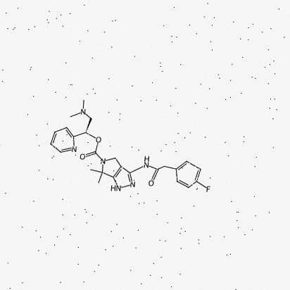 CN(C)C[C@@H](OC(=O)N1Cc2c(NC(=O)Cc3ccc(F)cc3)n[nH]c2C1(C)C)c1ccccn1